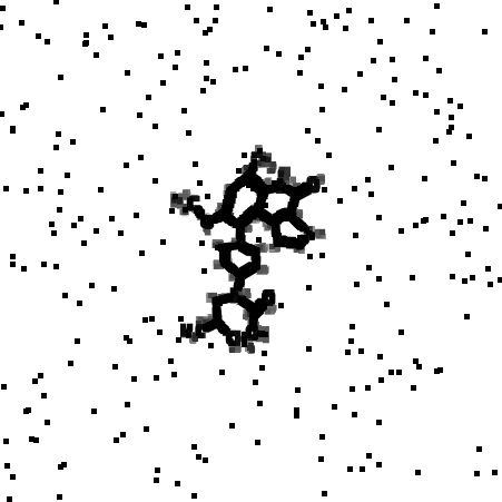 COc1cc(C)c2[nH]c(=O)c3sccc3c2c1-c1ccc(N(CC(C)C)C(=O)O)cc1